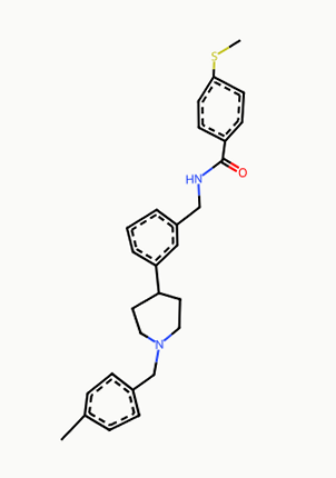 CSc1ccc(C(=O)NCc2cccc(C3CCN(Cc4ccc(C)cc4)CC3)c2)cc1